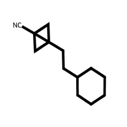 N#CC12CC1(CCC1CCCCC1)C2